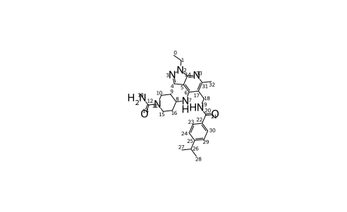 CCn1ncc2c(NC3CCN(C(N)=O)CC3)c(CNC(=O)c3ccc(C(C)C)cc3)c(C)nc21